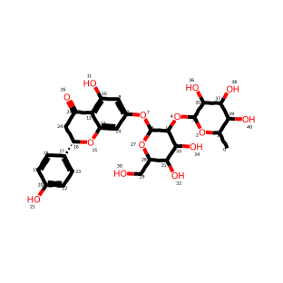 CC1OC(OC2C(Oc3cc(O)c4c(c3)O[C@H](c3ccc(O)cc3)CC4=O)OC(CO)C(O)C2O)C(O)C(O)C1O